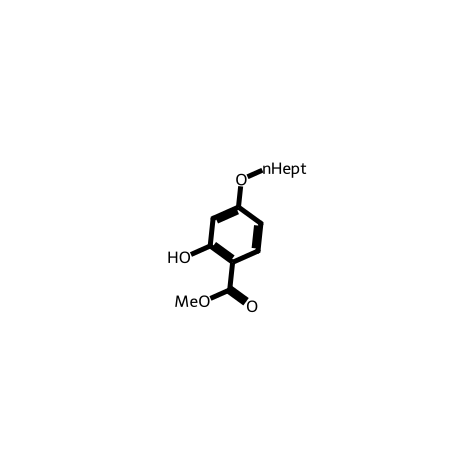 CCCCCCCOc1ccc(C(=O)OC)c(O)c1